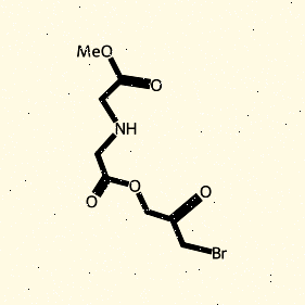 COC(=O)CNCC(=O)OCC(=O)CBr